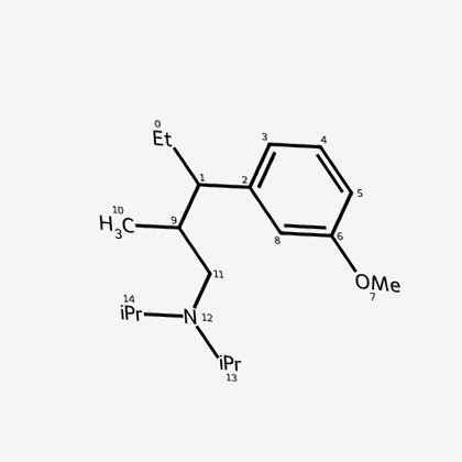 CCC(c1cccc(OC)c1)C(C)CN(C(C)C)C(C)C